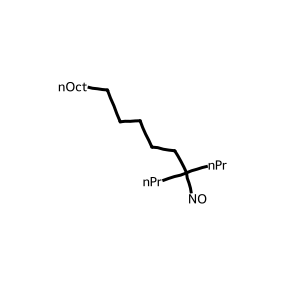 CCCCCCCCCCCCCC(CCC)(CCC)N=O